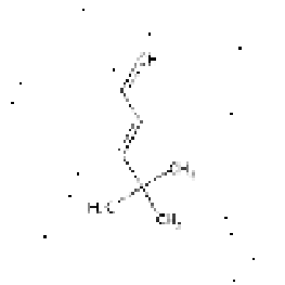 [CH]=C/C=C/C(C)(C)C